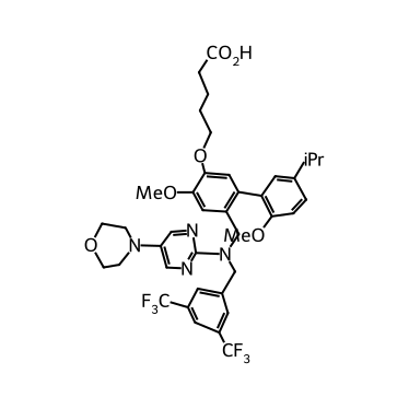 COc1cc(CN(Cc2cc(C(F)(F)F)cc(C(F)(F)F)c2)c2ncc(N3CCOCC3)cn2)c(-c2cc(C(C)C)ccc2OC)cc1OCCCCC(=O)O